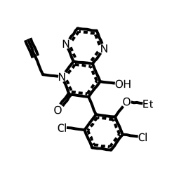 C#CCn1c(=O)c(-c2c(Cl)ccc(Cl)c2OCC)c(O)c2nccnc21